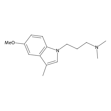 COc1ccc2c(c1)c(C)cn2CCCN(C)C